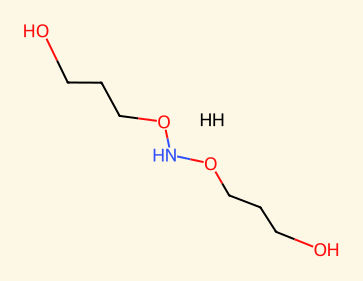 OCCCONOCCCO.[HH]